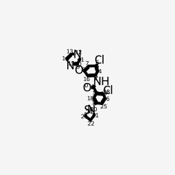 O=C(Nc1cc(Cl)cc(Oc2cnccn2)c1)c1cc(N2CCCS2)ccc1Cl